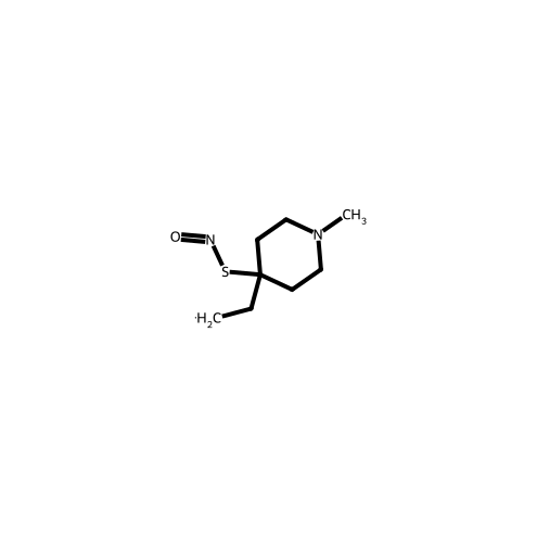 [CH2]CC1(SN=O)CCN(C)CC1